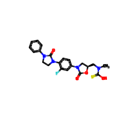 CN(C[C@@H]1CN(c2ccc(N3CCN(c4ccccc4)C3=O)c(F)c2)C(=O)O1)C(O)=S